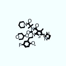 COc1ccc(F)cc1C(Cn1c(=O)n(C(C)(C)C(=O)N2CCCCC2)c(=O)c2c(C)c(-n3nccn3)sc21)OC1CCOCC1